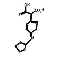 O=C(O)C(C(O)=S)C1=CCC(=NC2SCCS2)C=C1